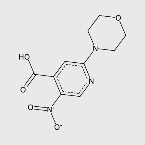 O=C(O)c1cc(N2CCOCC2)ncc1[N+](=O)[O-]